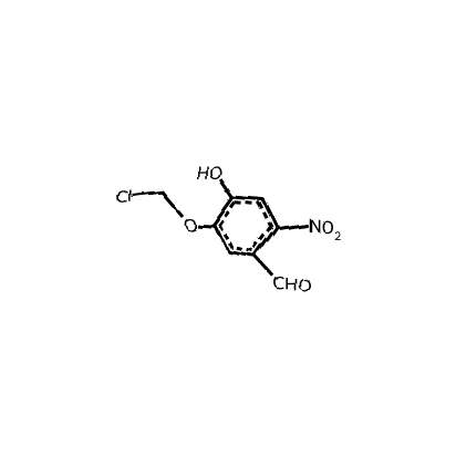 O=Cc1cc(OCCl)c(O)cc1[N+](=O)[O-]